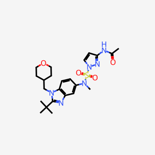 CC(=O)Nc1ccn(S(=O)(=O)N(C)c2ccc3c(c2)nc(C(C)(C)C)n3CC2CCOCC2)n1